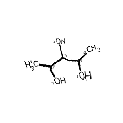 C[C](O)C(O)C(C)O